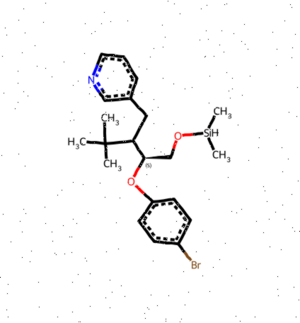 C[SiH](C)OC[C@@H](Oc1ccc(Br)cc1)C(Cc1cccnc1)C(C)(C)C